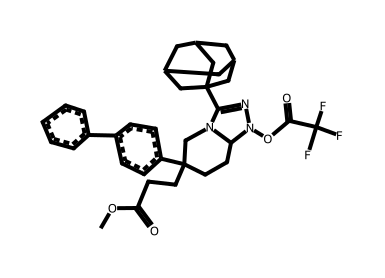 COC(=O)CCC1(c2ccc(-c3ccccc3)cc2)CCC2N(OC(=O)C(F)(F)F)N=C(C34CC5CC(CC(C5)C3)C4)N2C1